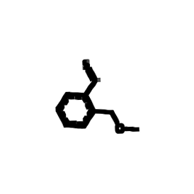 COCc1ccccc1[C]=S